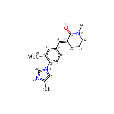 CCc1cn(-c2ccc(/C=C3\CCCN(C)C3=O)cc2OC)cn1